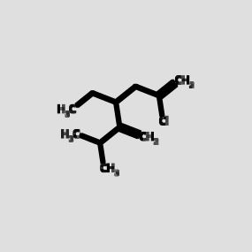 C=C(Cl)CC(CC)C(=C)C(C)C